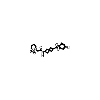 O=C(CN1CCCCS1(=O)=O)NC1CC2(C1)CC(c1nc3cc(Cl)ccc3o1)C2